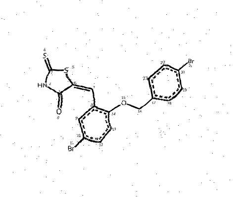 O=C1NC(=S)SC1=Cc1cc(Br)ccc1OCc1ccc(Br)cc1